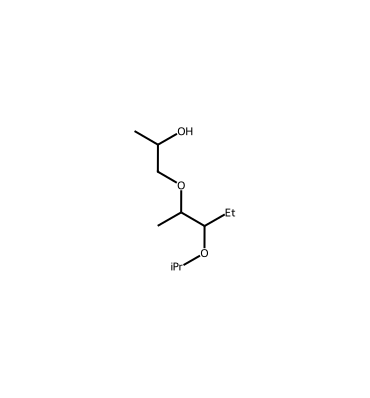 CCC(OC(C)C)C(C)OCC(C)O